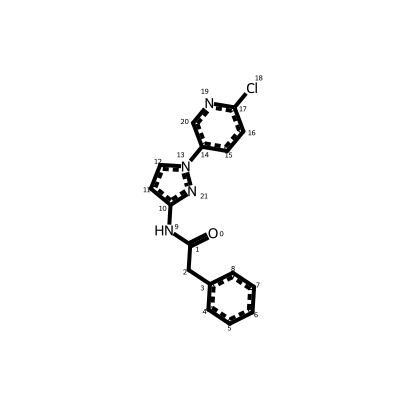 O=C(Cc1ccccc1)Nc1ccn(-c2ccc(Cl)nc2)n1